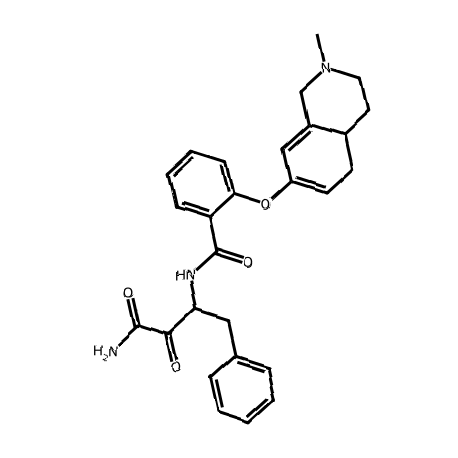 CN1CCC2CC=C(Oc3ccccc3C(=O)NC(Cc3ccccc3)C(=O)C(N)=O)C=C2C1